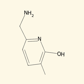 Cc1ccc(CN)nc1O